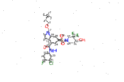 C[Si](C)(C)CCOCn1ccc2c(C(=O)Nc3ccc(F)c(Cl)c3)cc(S(=O)(=O)N3CCC(O)C(F)(F)C3)cc21